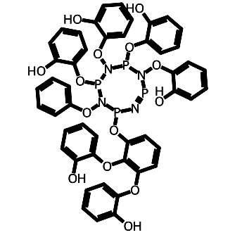 Oc1ccccc1Oc1cccc(Op2npn(Oc3ccccc3O)p(Oc3ccccc3O)n(Oc3ccccc3O)p(Oc3ccccc3O)n2Oc2ccccc2)c1Oc1ccccc1O